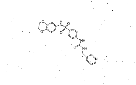 O=C(NCc1cccnc1)Nc1ccc(S(=O)(=O)Nc2ccc3c(c2)OCCO3)cc1